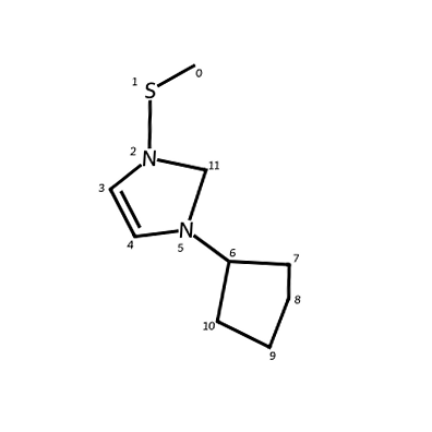 CSN1C=CN(C2CCCC2)C1